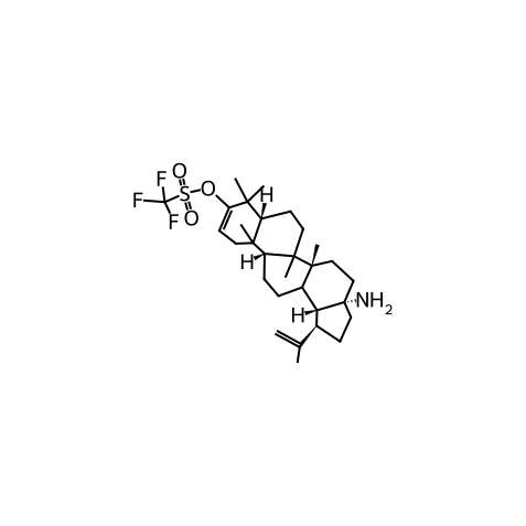 C=C(C)[C@@H]1CC[C@]2(N)CC[C@]3(C)C(CC[C@@H]4C5(C)CC=C(OS(=O)(=O)C(F)(F)F)C(C)(C)[C@@H]5CCC43C)[C@@H]12